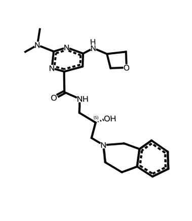 CN(C)c1nc(NC2COC2)cc(C(=O)NC[C@H](O)CN2CCc3ccccc3C2)n1